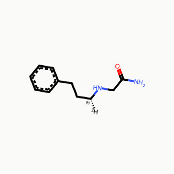 [2H][C@H](CCc1ccccc1)NCC(N)=O